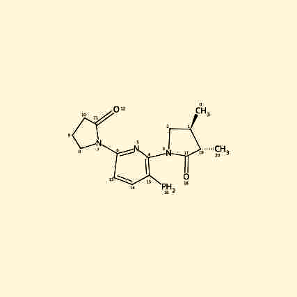 C[C@@H]1CN(c2nc(N3CCCC3=O)ccc2P)C(=O)[C@H]1C